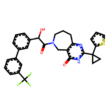 O=C(C(O)c1cccc(-c2cccc(C(F)(F)F)c2)c1)N1CCCc2nc(C3(c4cccs4)CC3)[nH]c(=O)c2C1